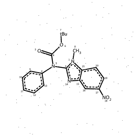 Cn1c(N(C(=O)OC(C)(C)C)c2ccccc2)nc2cc([N+](=O)[O-])ccc21